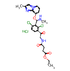 CCOC(=O)CCC(=O)NCC(=O)c1ccc(Cl)c(C(NC)Oc2cccn3cc(C)nc23)c1Cl.Cl